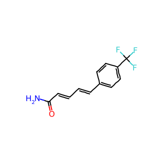 NC(=O)C=CC=Cc1ccc(C(F)(F)F)cc1